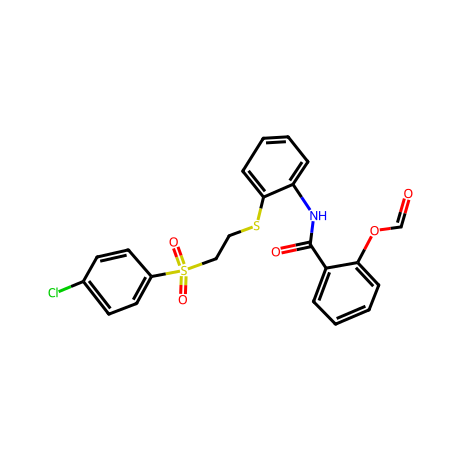 O=COc1ccccc1C(=O)Nc1ccccc1SCCS(=O)(=O)c1ccc(Cl)cc1